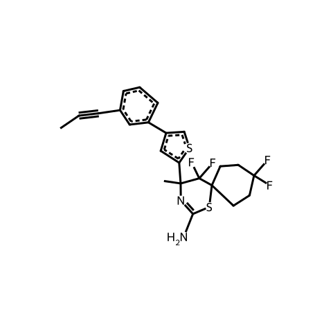 CC#Cc1cccc(-c2csc(C3(C)N=C(N)SC4(CCC(F)(F)CC4)C3(F)F)c2)c1